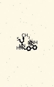 CC#CCC(CC=S)c1n[nH]c(Cc2ccc(-c3ccccc3-c3nnn[nH]3)cc2)n1